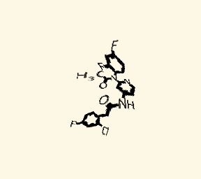 CC(=O)N(c1cc(NC(=O)Cc2ccc(F)cc2Cl)ccn1)c1ccc(F)cc1F